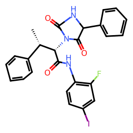 C[C@@H](c1ccccc1)[C@@H](C(=O)Nc1ccc(I)cc1F)N1C(=O)NC(c2ccccc2)C1=O